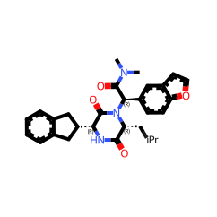 CC(C)C[C@@H]1C(=O)N[C@H](C2Cc3ccccc3C2)C(=O)N1[C@@H](C(=O)N(C)C)c1ccc2occc2c1